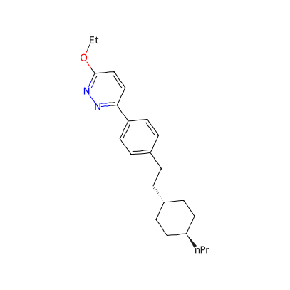 CCC[C@H]1CC[C@H](CCc2ccc(-c3ccc(OCC)nn3)cc2)CC1